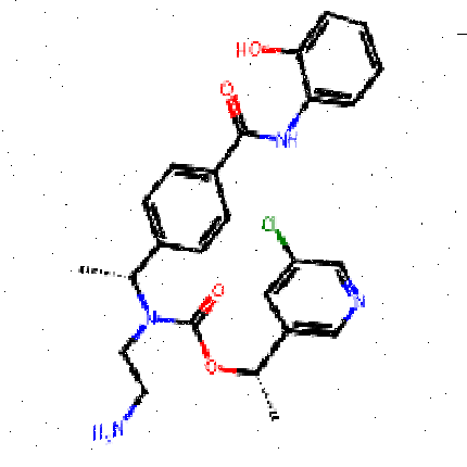 C[C@H](OC(=O)N(CCN)[C@H](C)c1ccc(C(=O)Nc2ccccc2O)cc1)c1cncc(Cl)c1